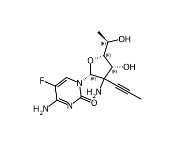 CC#CC1(N)[C@@H](O)[C@@H]([C@@H](C)O)O[C@H]1n1cc(F)c(N)nc1=O